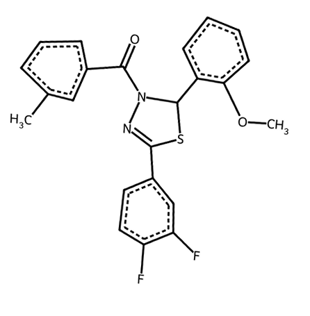 COc1ccccc1C1SC(c2ccc(F)c(F)c2)=NN1C(=O)c1cccc(C)c1